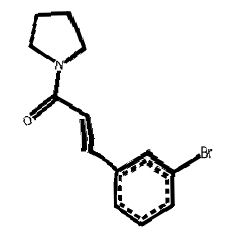 O=C(C=Cc1cccc(Br)c1)N1CCCC1